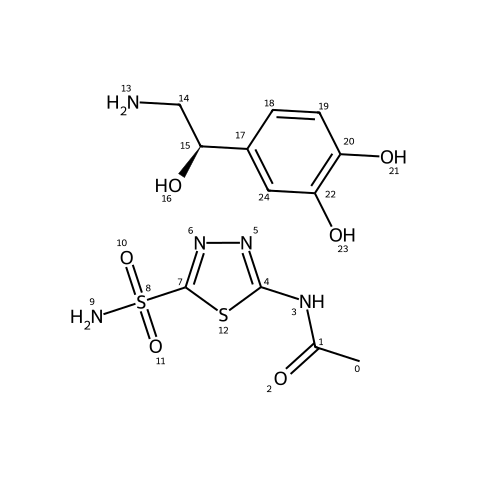 CC(=O)Nc1nnc(S(N)(=O)=O)s1.NC[C@H](O)c1ccc(O)c(O)c1